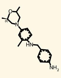 Cc1cc(N2CC(C)O[C@H](C)C2)ccc1NCc1ccc(N)cc1